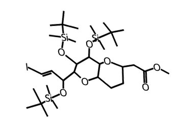 COC(=O)CC1CCC2OC(C(C=CI)O[Si](C)(C)C(C)(C)C)C(O[Si](C)(C)C(C)(C)C)C(O[Si](C)(C)C(C)(C)C)C2O1